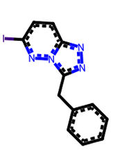 Ic1ccc2nnc(Cc3ccccc3)n2n1